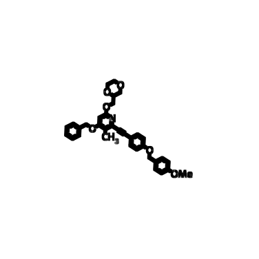 COc1ccc(COc2ccc(C#Cc3nc(OCC4COCCO4)cc(OCc4ccccc4)c3C)cc2)cc1